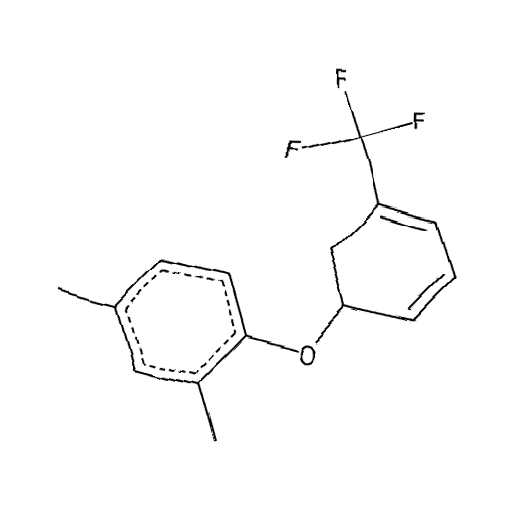 Cc1ccc(OC2C=CC=C(C(F)(F)F)C2)c(C)c1